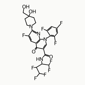 O=C(NC(C(F)F)C(F)C(F)F)c1cn(-c2c(F)cc(F)cc2F)c2nc(N3CCC(O)(CO)CC3)c(F)cc2c1=O